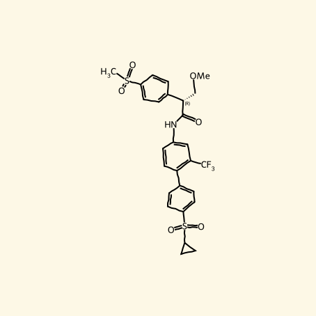 COC[C@H](C(=O)Nc1ccc(-c2ccc(S(=O)(=O)C3CC3)cc2)c(C(F)(F)F)c1)c1ccc(S(C)(=O)=O)cc1